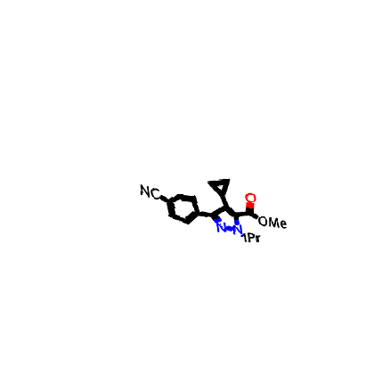 COC(=O)c1c(C2CC2)c(-c2ccc(C#N)cc2)nn1C(C)C